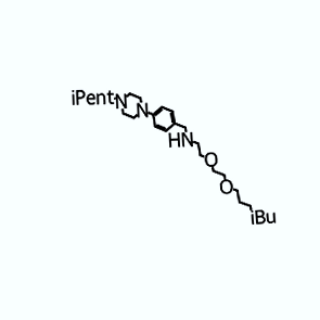 CCCC(C)N1CCN(c2ccc(CNCCOCCOCCCC(C)CC)cc2)CC1